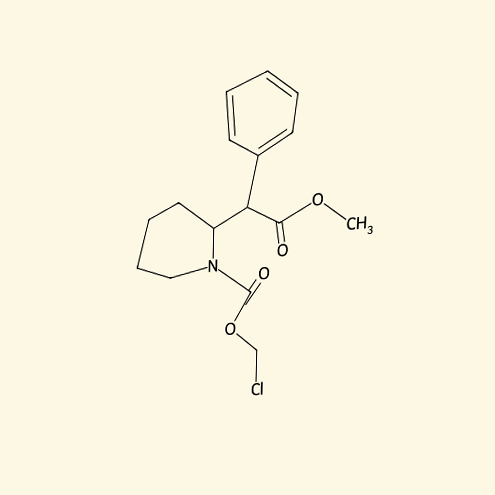 COC(=O)C(c1ccccc1)C1CCCCN1C(=O)OCCl